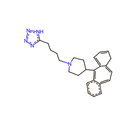 C1=CCC2=CC=c3ccccc3=C(C3CCN(CCCCc4nnn[nH]4)CC3)C2=C1